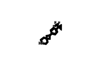 FC(F)(F)C1(c2ccc(C3CC4(CCNCC4)C3)cc2)CC1